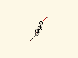 C#CCCCCCCCCCCCCOc1ccc(C#CC(=O)Oc2ccc(OC(=O)C3CCC(OCCCCCCCCCCCCC(=C)C)CC3)cc2)cc1